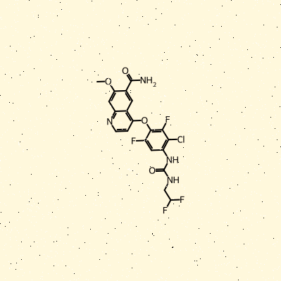 COc1cc2nccc(Oc3c(F)cc(NC(=O)NCC(F)F)c(Cl)c3F)c2cc1C(N)=O